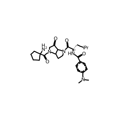 CC(C)C[C@H](NC(=O)c1ccc(N(C)C)cc1)C(=O)N1CCC2C1C(=O)CN2C(=O)C1(N)CCCC1